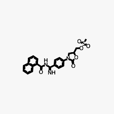 CS(=O)(=O)OCC1CN(c2ccc(C(=N)NC(=O)c3cccc4ccccc34)cc2)C(=O)O1